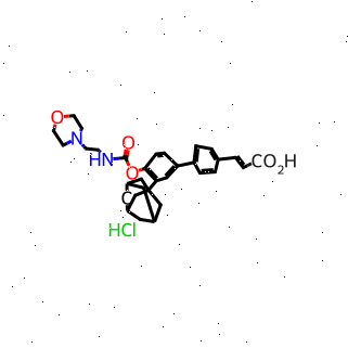 Cl.O=C(O)C=Cc1ccc(-c2ccc(OC(=O)NCCN3CCOCC3)c(C34CC5CC(CC(C5)C3)C4)c2)cc1